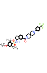 COc1cc(C)c(S(=O)(=O)NC2CCc3ccc(C(=O)N4CCC5(CC4)CCN(c4ccc(C(F)(F)F)cc4)CC5)cc32)c(C)c1